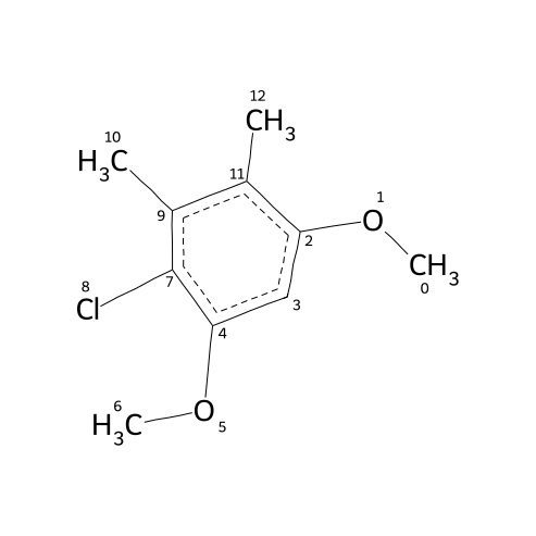 COc1cc(OC)c(Cl)c(C)c1C